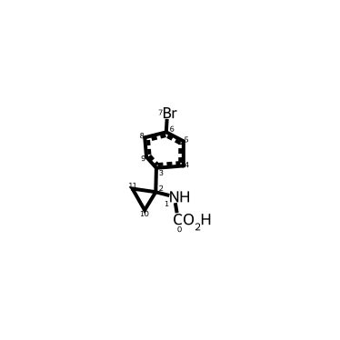 O=C(O)NC1(c2ccc(Br)cc2)CC1